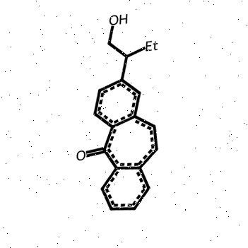 CCC(CO)c1ccc2c(=O)c3ccccc3ccc2c1